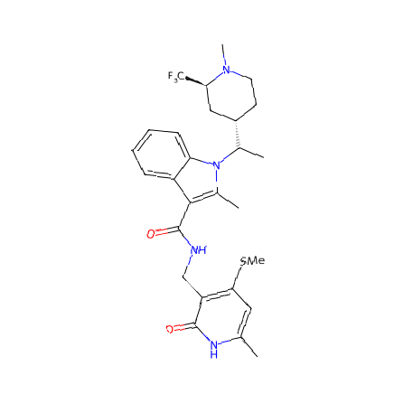 CSc1cc(C)[nH]c(=O)c1CNC(=O)c1c(C)n(C(C)[C@H]2CCN(C)[C@H](C(F)(F)F)C2)c2ccccc12